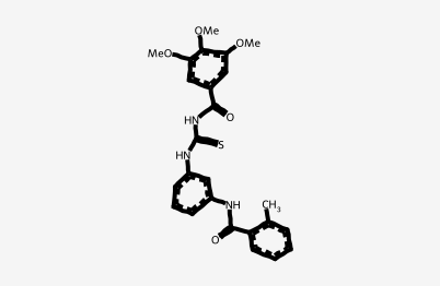 COc1cc(C(=O)NC(=S)Nc2cccc(NC(=O)c3ccccc3C)c2)cc(OC)c1OC